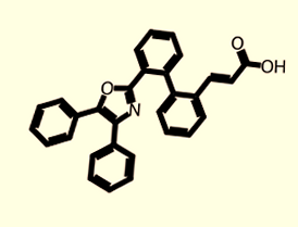 O=C(O)/C=C/c1ccccc1-c1ccccc1-c1nc(-c2ccccc2)c(-c2ccccc2)o1